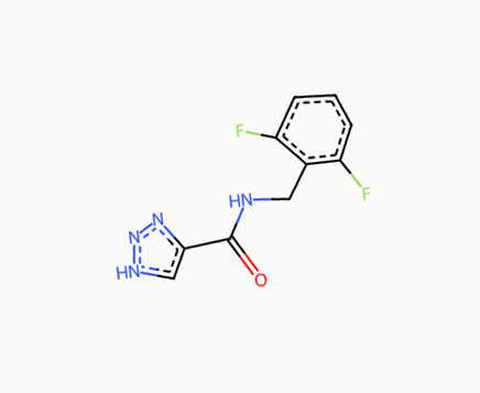 O=C(NCc1c(F)cccc1F)c1c[nH]nn1